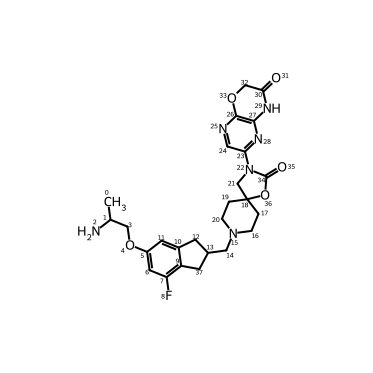 CC(N)COc1cc(F)c2c(c1)CC(CN1CCC3(CC1)CN(c1cnc4c(n1)NC(=O)CO4)C(=O)O3)C2